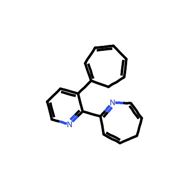 C1=CC=C(c2cccnc2C2=NC=CCC=C2)CC=C1